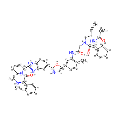 C#CCCN(CC(=O)Nc1cc(-c2cnc(-c3ccc4[nH]c([C@@H]5C#CCCN5C(=O)[C@@H](c5ccccc5)N(C)C)nc4c3)o2)ccc1C)C(=O)[C@H](NC(=O)OC)c1ccccc1